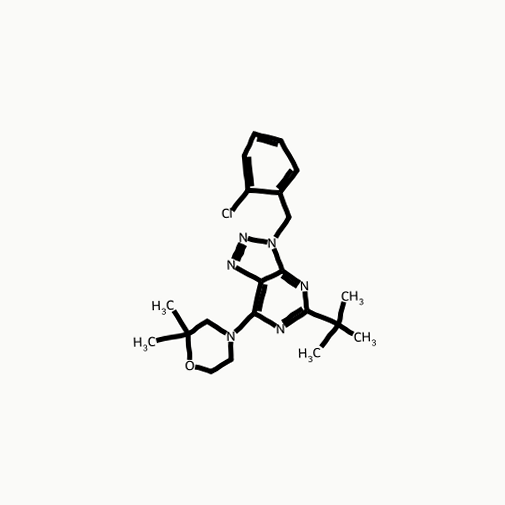 CC1(C)CN(c2nc(C(C)(C)C)nc3c2nnn3Cc2ccccc2Cl)CCO1